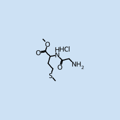 COC(=O)C(CCSC)NC(=O)CN.Cl